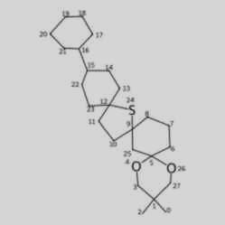 CC1(C)COC2(CCCC3(CCC4(CCC(C5CCCCC5)CC4)S3)C2)OC1